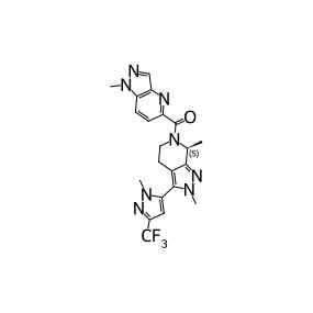 C[C@H]1c2nn(C)c(-c3cc(C(F)(F)F)nn3C)c2CCN1C(=O)c1ccc2c(cnn2C)n1